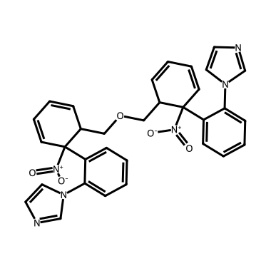 O=[N+]([O-])C1(c2ccccc2-n2ccnc2)C=CC=CC1COCC1C=CC=CC1(c1ccccc1-n1ccnc1)[N+](=O)[O-]